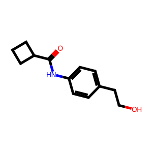 O=C(Nc1ccc(CCO)cc1)C1CCC1